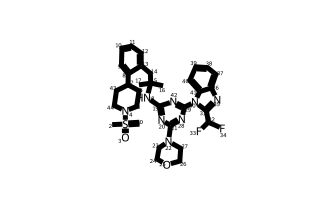 C=S(C)(=O)N1CCC(c2ccccc2CC(C)(C)Nc2nc(N3CCOCC3)nc(-n3c(C(F)F)nc4ccccc43)n2)CC1